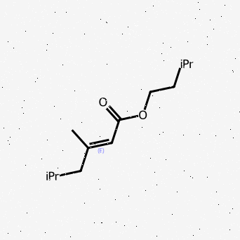 C/C(=C\C(=O)OCCC(C)C)CC(C)C